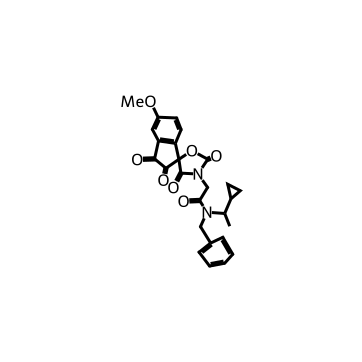 COc1ccc2c(c1)C(=O)C(=O)C21OC(=O)N(CC(=O)N(Cc2ccccc2)C(C)C2CC2)C1=O